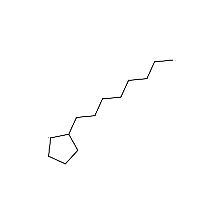 [CH2]CCCCCCCC1[CH]CCC1